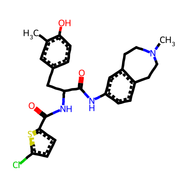 Cc1cc(CC(NC(=O)c2ccc(Cl)s2)C(=O)Nc2ccc3c(c2)CCN(C)CC3)ccc1O